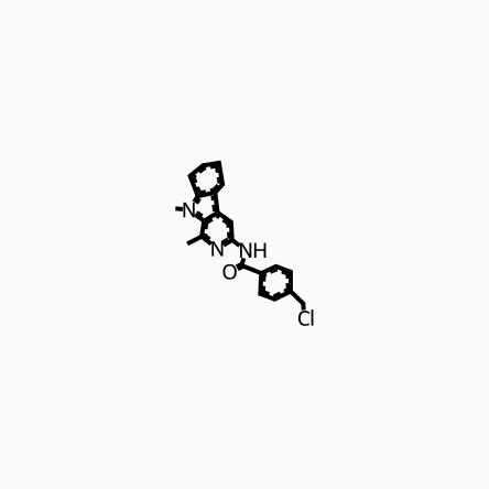 Cc1nc(NC(=O)c2ccc(CCl)cc2)cc2c3ccccc3n(C)c12